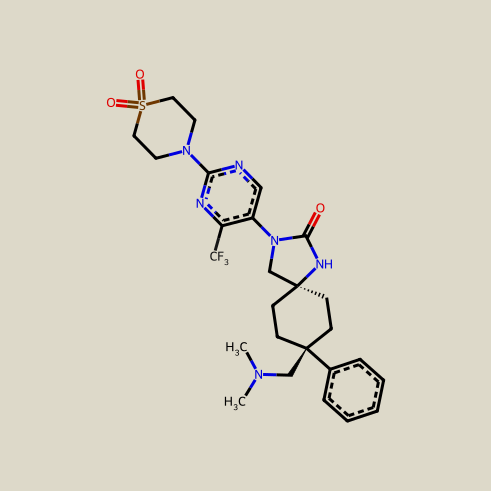 CN(C)C[C@]1(c2ccccc2)CC[C@]2(CC1)CN(c1cnc(N3CCS(=O)(=O)CC3)nc1C(F)(F)F)C(=O)N2